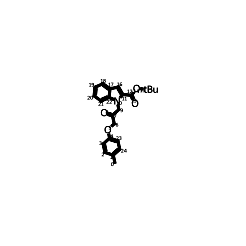 Cc1ccc(OCC(=O)Cn2c(C(=O)OC(C)(C)C)cc3ccccc32)cc1